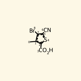 Cc1c(C(=O)O)sc(C#N)c1Br